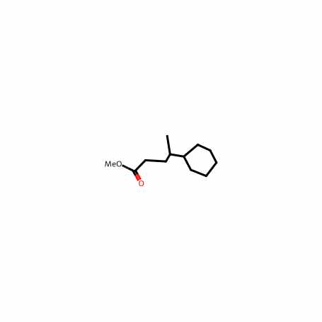 COC(=O)CCC(C)C1CCCCC1